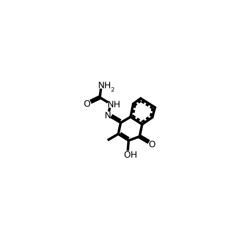 CC1=C(O)C(=O)c2ccccc2C1=NNC(N)=O